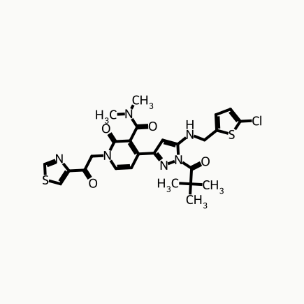 CN(C)C(=O)c1c(-c2cc(NCc3ccc(Cl)s3)n(C(=O)C(C)(C)C)n2)ccn(CC(=O)c2cscn2)c1=O